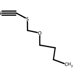 CCCCOCSC#N